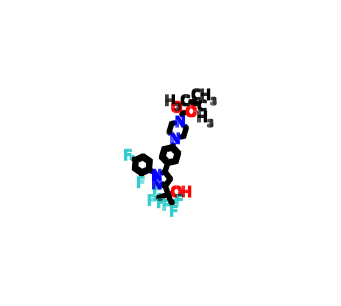 CC(C)(C)OC(=O)N1CCN(c2ccc(C3CC(C(O)(C(F)(F)F)C(F)(F)F)=NN3c3ccc(F)cc3F)cc2)CC1